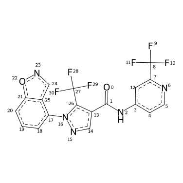 O=C(Nc1ccnc(C(F)(F)F)c1)c1cnn(-c2cccc3oncc23)c1C(F)(F)F